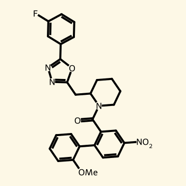 COc1ccccc1-c1ccc([N+](=O)[O-])cc1C(=O)N1CCCCC1Cc1nnc(-c2cccc(F)c2)o1